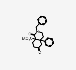 CCOC(=O)C12CCC(=O)CC1(c1ccccc1)CCN(Cc1ccccc1)C2=O